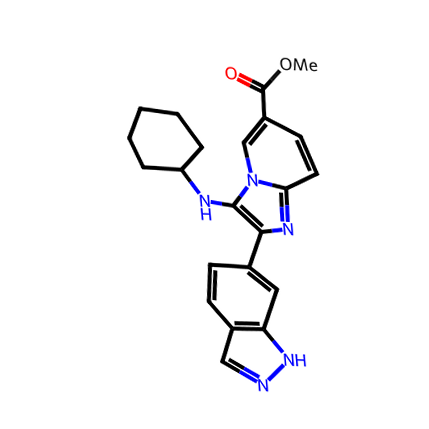 COC(=O)c1ccc2nc(-c3ccc4cn[nH]c4c3)c(NC3CCCCC3)n2c1